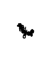 CCn1c2ccccc2c2cc(-c3nc4cc(C(=O)NS(=O)(=O)c5cccc(C)c5)ccc4n3CCOC)ccc21